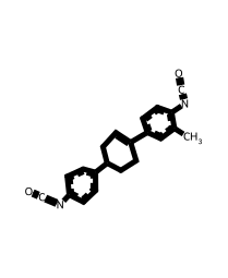 Cc1cc(C2=CCC(c3ccc(N=C=O)cc3)CC2)ccc1N=C=O